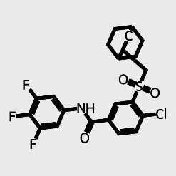 O=C(Nc1cc(F)c(F)c(F)c1)c1ccc(Cl)c(S(=O)(=O)CC2CC3CCC2CC3)c1